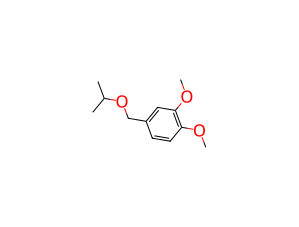 COc1ccc(COC(C)C)cc1OC